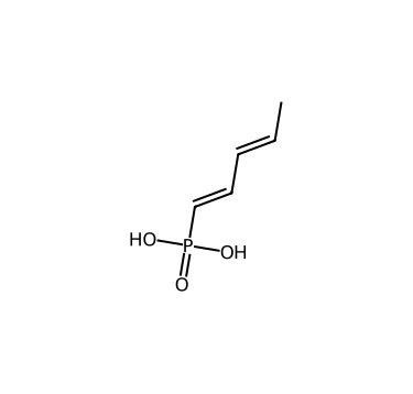 C/C=C/C=C/P(=O)(O)O